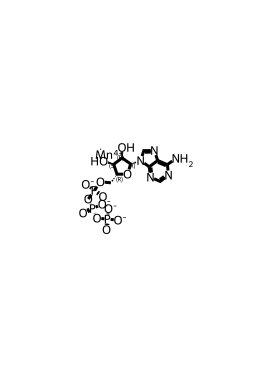 Nc1ncnc2c1ncn2[C@@H]1O[C@H](COP(=O)([O-])OP(=O)([O-])OP(=O)([O-])[O-])[C@@H](O)[C@H]1O.[Mn+4]